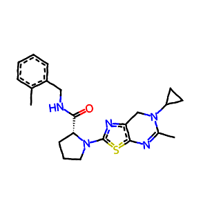 CC1=Nc2sc(N3CCC[C@@H]3C(=O)NCc3ccccc3C)nc2CN1C1CC1